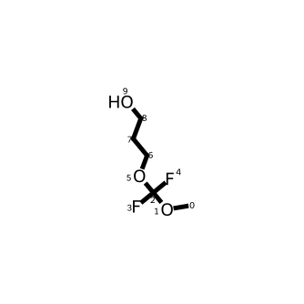 COC(F)(F)OCCCO